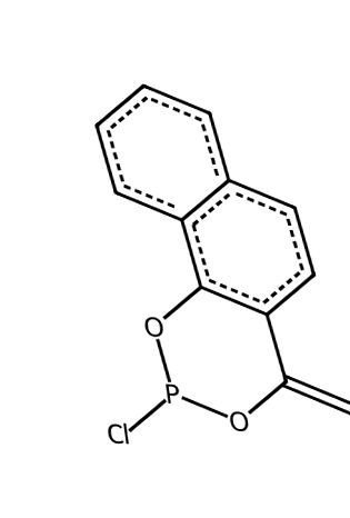 C=C1OP(Cl)Oc2c1ccc1ccccc21